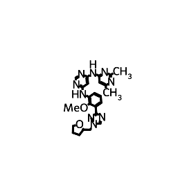 COc1c(Nc2cc(Nc3cc(C)nc(C)n3)ncn2)cccc1-c1ncn(CC2CCCO2)n1